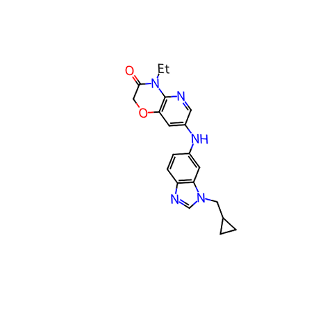 CCN1C(=O)COc2cc(Nc3ccc4ncn(CC5CC5)c4c3)cnc21